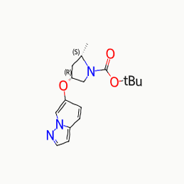 C[C@H]1C[C@@H](Oc2ccc3ccnn3c2)CN1C(=O)OC(C)(C)C